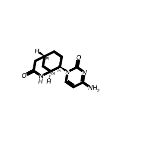 Nc1ccn([C@@H]2CC[C@H]3CC(=O)N[C@H]2C3)c(=O)n1